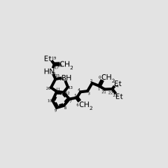 C=C(CCCC(=C)c1cccc2c1CBC(NC(=C)CC)C2)CC(CC)CC